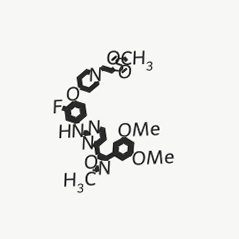 COc1cc(OC)cc(-c2nc(C)oc2-c2ccnc(Nc3ccc(OC4CCN(CCS(C)(=O)=O)CC4)c(F)c3)n2)c1